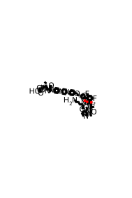 CC[C@@H]([C@H](C)OP(=O)(O)O)n1ncn(-c2ccc(N3CCN(c4ccc(OC[C@@H]5CO[C@@](Cn6c[n+](C(C)OC(=O)N(C)c7ncccc7COC(=O)[C@@H](N)CCCN)cn6)(c6ccc(F)cc6F)C5)cc4)CC3)cc2)c1=O